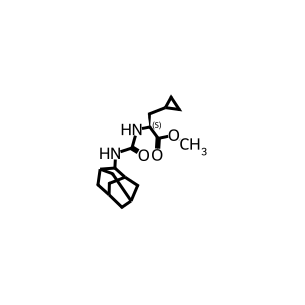 COC(=O)[C@H](CC1CC1)NC(=O)NC1C2CC3CC(C2)CC1C3